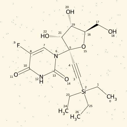 CC[Si](C#C[C@@]1(n2cc(F)c(=O)[nH]c2=O)O[C@H](CO)[C@@H](O)[C@H]1O)(CC)CC